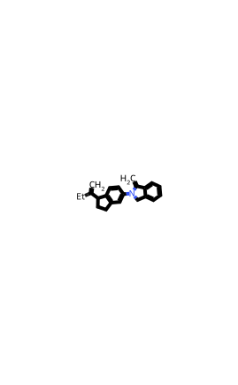 C=C(CC)C1CCc2cc(N3Cc4ccccc4C3=C)ccc21